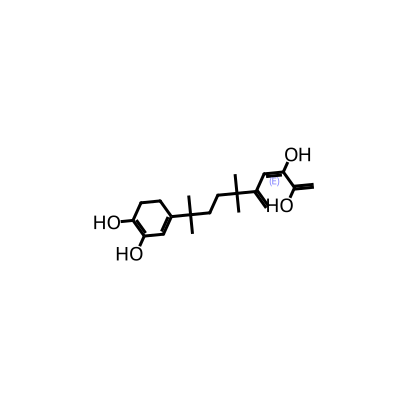 C=C(O)/C(O)=C\C(=C)C(C)(C)CCC(C)(C)C1=CC(O)=C(O)CC1